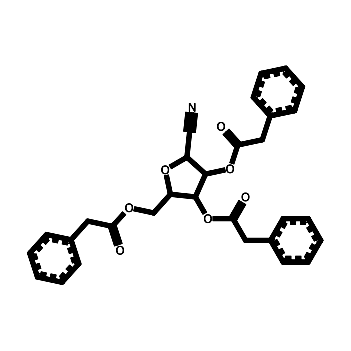 N#CC1OC(COC(=O)Cc2ccccc2)C(OC(=O)Cc2ccccc2)C1OC(=O)Cc1ccccc1